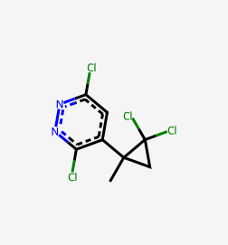 CC1(c2cc(Cl)nnc2Cl)CC1(Cl)Cl